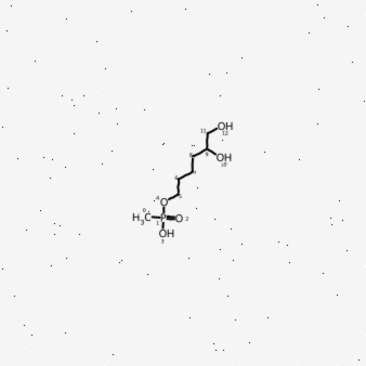 CP(=O)(O)OCCCCC(O)CO